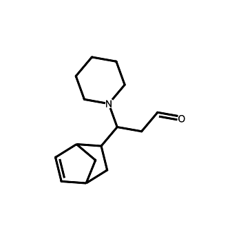 O=CCC(C1CC2C=CC1C2)N1CCCCC1